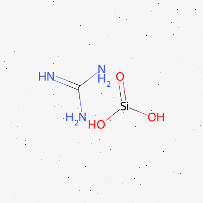 N=C(N)N.O=[Si](O)O